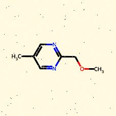 COCc1ncc(C)cn1